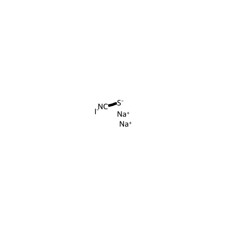 N#C[S-].[I-].[Na+].[Na+]